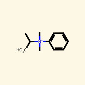 CC(C(=O)O)[N+](C)(C)c1ccccc1